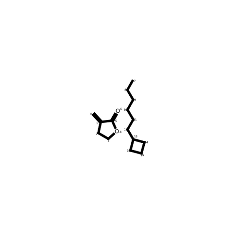 C=C1CCOC1=O.CCCCCCC1CCC1